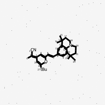 CC(C#N)=C1C=C(C=Cc2cc3c4c(c2)C(C)(C)CCN4CCC3(C)C)OC(C(C)(C)C)=C1